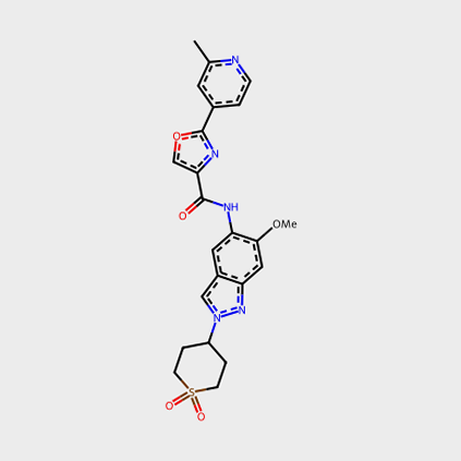 COc1cc2nn(C3CCS(=O)(=O)CC3)cc2cc1NC(=O)c1coc(-c2ccnc(C)c2)n1